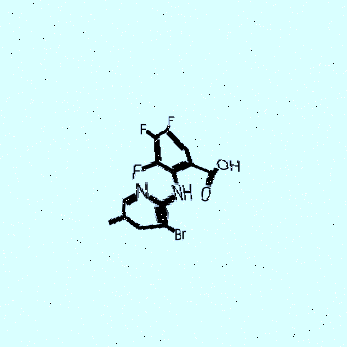 Cc1cnc(Nc2c(C(=O)O)cc(F)c(F)c2F)c(Br)c1